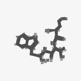 CSCC[C@H](N)C(=O)N[C@H](C(=O)N[C@@H](Cc1c[nH]c2ccccc12)C(=O)O)[C@@H](C)O